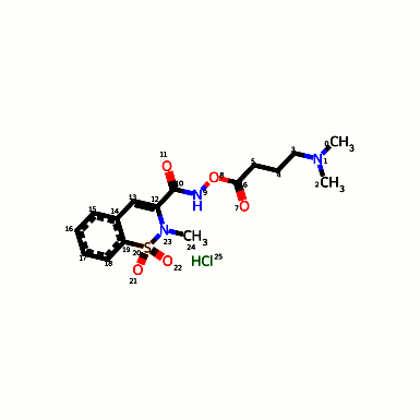 CN(C)CCCC(=O)ONC(=O)C1=Cc2ccccc2S(=O)(=O)N1C.Cl